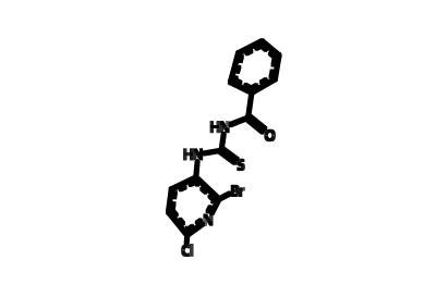 O=C(NC(=S)Nc1ccc(Cl)nc1Br)c1ccccc1